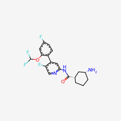 N[C@@H]1CCC[C@H](C(=O)Nc2cc(-c3ccc(F)cc3OC(F)F)c(F)cn2)C1